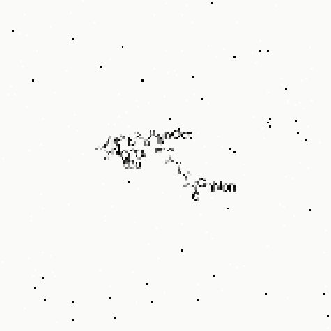 CCCCCCCCCOC(=O)CCCCCCCN(CCCCCCCC)CCCN(Cn1cccn1)C(=O)OC(C)(C)C